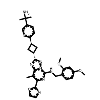 COc1ccc(CNc2nc(-c3ncco3)c(C)c3nc([C@H]4C[C@H](c5ccc(C(C)(C)N)cn5)C4)nn23)c(OC)c1